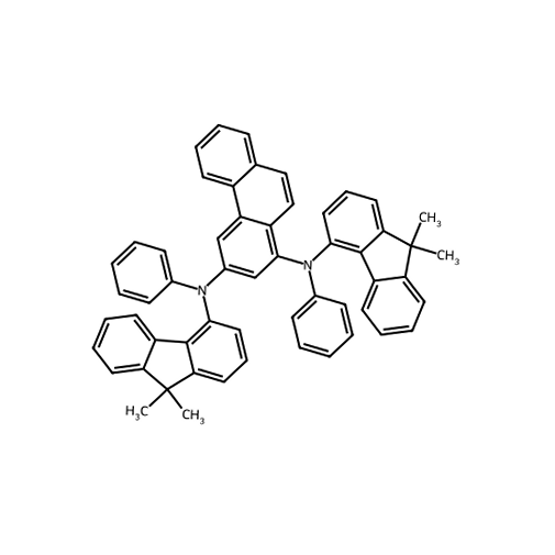 CC1(C)c2ccccc2-c2c(N(c3ccccc3)c3cc(N(c4ccccc4)c4cccc5c4-c4ccccc4C5(C)C)c4ccc5ccccc5c4c3)cccc21